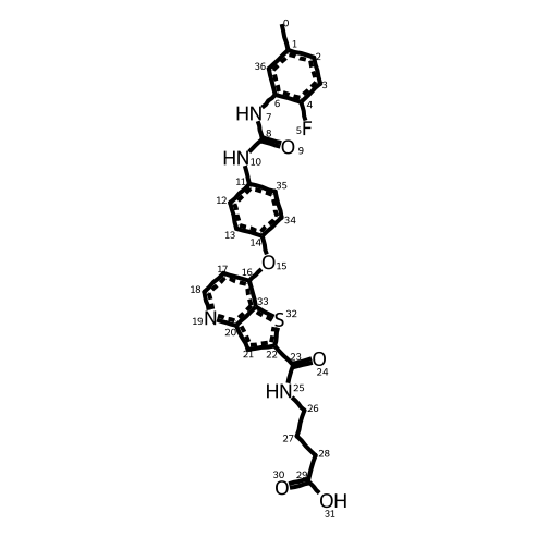 Cc1ccc(F)c(NC(=O)Nc2ccc(Oc3ccnc4cc(C(=O)NCCCC(=O)O)sc34)cc2)c1